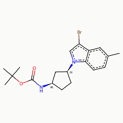 Cc1ccc2c(c1)c(Br)cn2[C@H]1CC[C@@H](NC(=O)OC(C)(C)C)C1